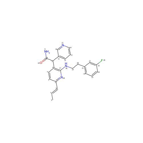 C/C=C/c1ccc(C(C(N)=O)c2cccnc2)c(NCCc2cccc(F)c2)n1